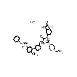 Cc1ccc(S(=O)(=O)NCc2ccccc2)cc1-c1cccc(C[C@H](NC(=O)[C@H]2CC[C@H](CN)CC2)C(=O)Nc2ccc3[nH]c(=O)[nH]c3c2)c1.Cl